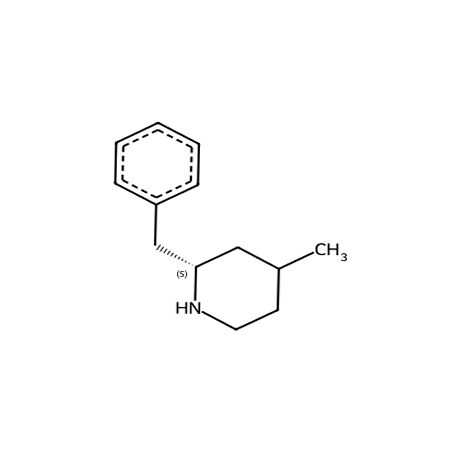 CC1CCN[C@H](Cc2ccccc2)C1